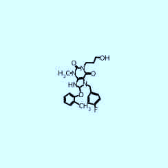 Cc1ccccc1OC1Nc2c(c(=O)n(CCCO)c(=O)n2C)N1Cc1ccc(F)cc1